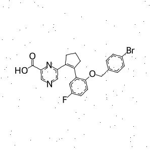 O=C(O)c1cncc(C2=C(c3cc(F)ccc3OCc3ccc(Br)cc3)CCC2)n1